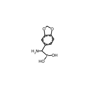 NC(c1ccc2c(c1)OCO2)P(O)O